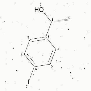 C[C@@H](O)c1ccc(I)cc1